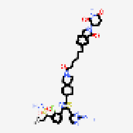 CCC(c1cccc(-c2nc(C3CCC4(CC3)CCN(C(=O)CCCCCc3ccc5c(c3)C(=O)N(C3CCC(=O)NC3=O)C5)CC4)sc2-c2ccnc(N)n2)c1F)S(N)(=O)=O